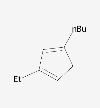 CCCCC1=CC(CC)=CC1